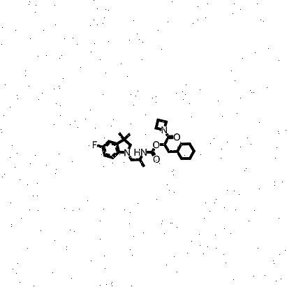 CC(CN1CC(C)(C)c2cc(F)ccc21)NC(=O)OC(CC1CCCCC1)C(=O)N1CCC1